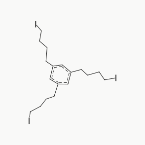 ICCCCc1cc(CCCCI)cc(CCCCI)c1